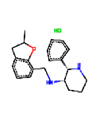 CC1Cc2cccc(CN[C@H]3CCCN[C@H]3c3ccccc3)c2O1.Cl